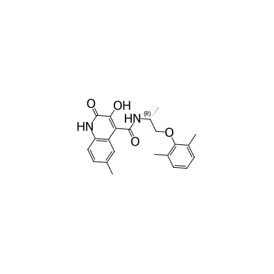 Cc1ccc2[nH]c(=O)c(O)c(C(=O)N[C@H](C)COc3c(C)cccc3C)c2c1